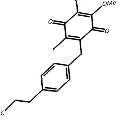 COC1=C(OC)C(=O)C(Cc2ccc(CCC(=O)O)cc2)=C(C)C1=O